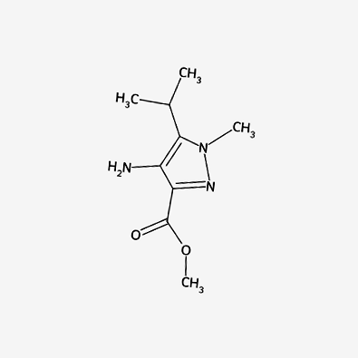 COC(=O)c1nn(C)c(C(C)C)c1N